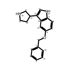 c1ccc(COc2ccc3[nH]cc(C4CCNC4)c3c2)cc1